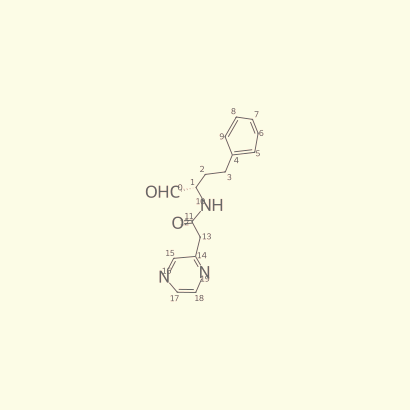 O=C[C@H](CCc1ccccc1)NC(=O)Cc1cnccn1